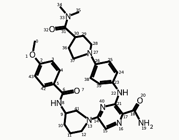 COc1ccc(C(=O)NC2CCCN(c3cnc(C(N)=O)c(Nc4ccc(N5CCC(C(=O)N(C)C)CC5)cc4)n3)C2)cc1